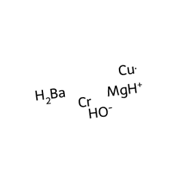 [BaH2].[Cr].[Cu].[MgH+].[OH-]